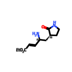 CCOC(=O)C=C[C@@H](N)C[C@H]1CCNC1=O